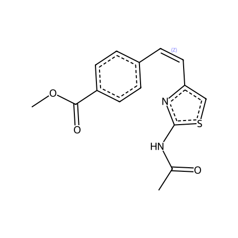 COC(=O)c1ccc(/C=C\c2csc(NC(C)=O)n2)cc1